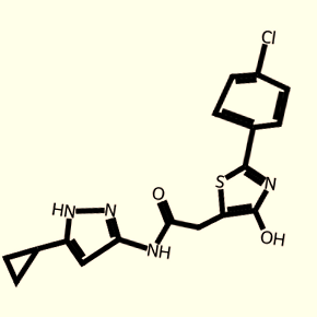 O=C(Cc1sc(-c2ccc(Cl)cc2)nc1O)Nc1cc(C2CC2)[nH]n1